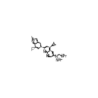 CCCN(CC(C)C)c1cnc2nc(-c3cc(F)c4nn(C)cc4c3)cc(C3CC3)c2c1